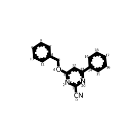 N#Cc1nc(OCc2ccccc2)cc(-c2ccccc2)n1